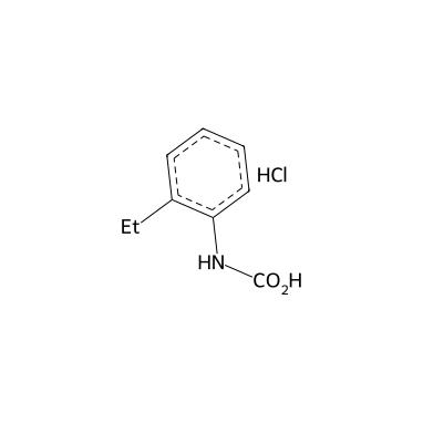 CCc1ccccc1NC(=O)O.Cl